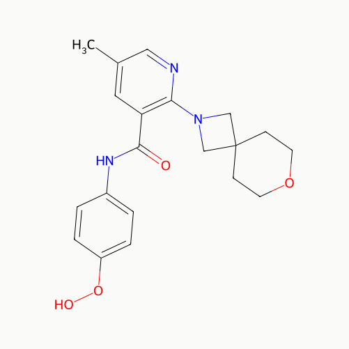 Cc1cnc(N2CC3(CCOCC3)C2)c(C(=O)Nc2ccc(OO)cc2)c1